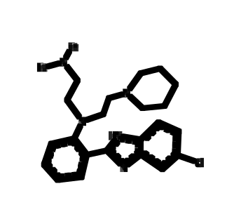 CCN(CC)CCN(CCN1CCCCC1)c1ccccc1-c1nc2cc(Cl)ccc2[nH]1